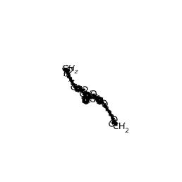 C=CC(=O)OCCCCCCCOc1ccc(C(=O)Oc2ccc(OC(=O)c3ccc(OCCCCCCCOC(=O)C=C)cc3)c3ccccc23)cc1